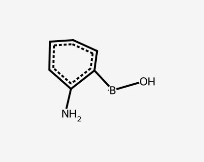 Nc1ccccc1[B]O